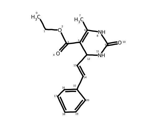 CCOC(=O)C1=C(C)NC(=O)NC1C=Cc1ccccc1